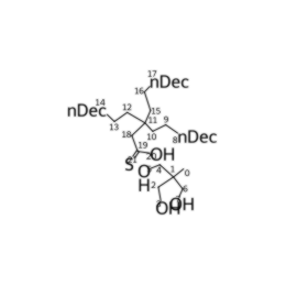 CC(CO)(CO)CO.CCCCCCCCCCCCC(CCCCCCCCCCCC)(CCCCCCCCCCCC)CC(O)=S